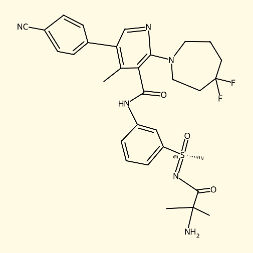 Cc1c(-c2ccc(C#N)cc2)cnc(N2CCCC(F)(F)CC2)c1C(=O)Nc1cccc([S@@](C)(=O)=NC(=O)C(C)(C)N)c1